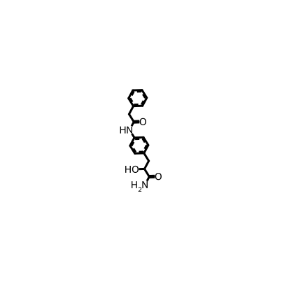 NC(=O)C(O)Cc1ccc(NC(=O)Cc2ccccc2)cc1